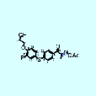 CC(=O)O/N=C(\C)C(=O)c1ccc(Sc2ccc(OCCO)c(F)c2)cc1